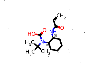 C=CC(=O)N[C@H]1CCCC[C@H]1N(C(=O)O)C(C)(C)C